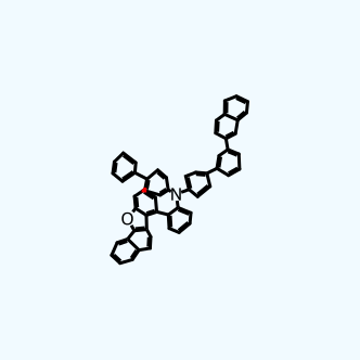 c1ccc(-c2ccc(N(c3ccc(-c4cccc(-c5ccc6ccccc6c5)c4)cc3)c3ccccc3-c3cccc4oc5c6ccccc6ccc5c34)cc2)cc1